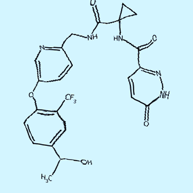 CC(O)c1ccc(Oc2ccc(CNC(=O)C3(NC(=O)c4ccc(=O)[nH]n4)CC3)nc2)c(C(F)(F)F)c1